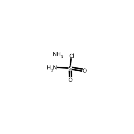 N.NS(=O)(=O)Cl